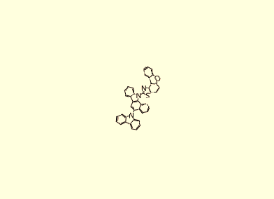 C1=CC2Oc3ccccc3C2c2nc(-n3c4ccccc4c4cc(-n5c6ccccc6c6ccccc65)c5ccccc5c43)sc21